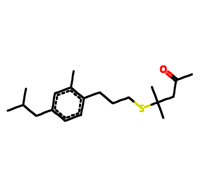 CC(=O)CC(C)(C)SCCCc1ccc(CC(C)C)cc1C